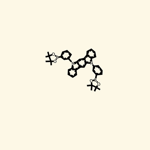 CC1(C)OB(c2cccc(-n3c4ccccc4c4cc5c(cc43)c3ccccc3n5-c3cccc(B4OC(C)(C)C(C)(C)O4)c3)c2)OC1(C)C